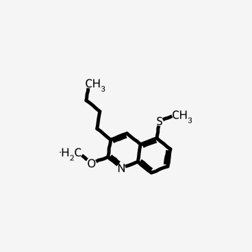 [CH2]Oc1nc2cccc(SC)c2cc1CCCC